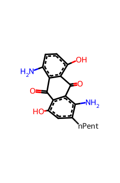 CCCCCc1cc(O)c2c(c1N)C(=O)c1c(O)ccc(N)c1C2=O